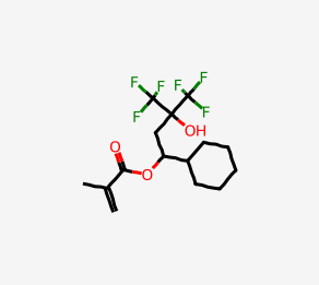 C=C(C)C(=O)OC(CC(O)(C(F)(F)F)C(F)(F)F)C1CCCCC1